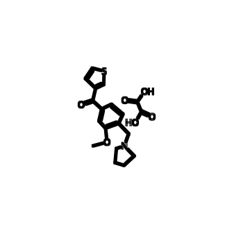 COc1cc(C(=O)c2ccsc2)ccc1CN1CCCC1.O=C(O)C(=O)O